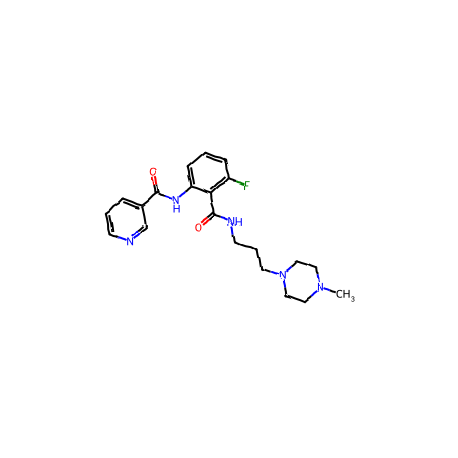 CN1CCN(CCCNC(=O)c2c(F)cccc2NC(=O)c2cccnc2)CC1